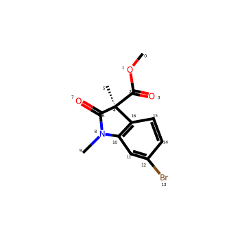 COC(=O)[C@]1(C)C(=O)N(C)c2cc(Br)ccc21